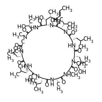 C/C=C/C[C@@H](C)[C@@H](O)[C@H]1C(=O)N[C@@H]([C@@H](C)O)C(=O)N(C)CC(=O)N(C)[C@@H](CC(C)C)C(=O)N[C@@H](CC(C)C)C(=O)N(C)[C@@H](CC(C)C)C(=O)N[C@@H](C)C(=O)N[C@H](C)C(=O)N(C)[C@@H](C[C@@H](C)CO)C(=O)N[C@@H](CC(C)C)C(=O)N(C)[C@@H](C(C)C)C(=O)N1C